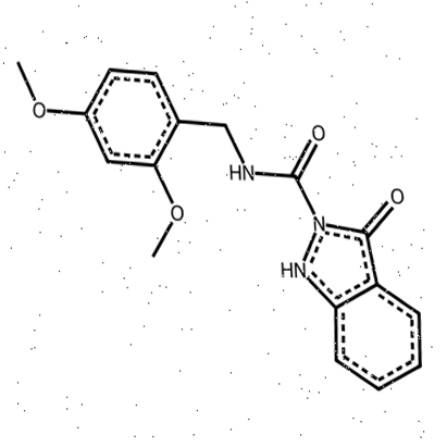 COc1ccc(CNC(=O)n2[nH]c3ccccc3c2=O)c(OC)c1